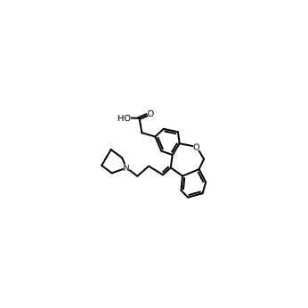 O=C(O)Cc1ccc2c(c1)C(=CCCN1CCCC1)c1ccccc1CO2